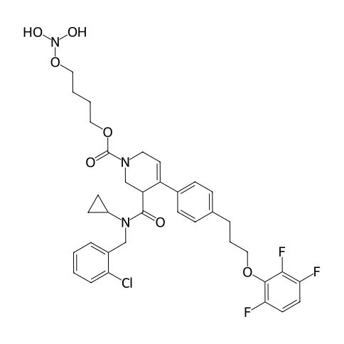 O=C(OCCCCON(O)O)N1CC=C(c2ccc(CCCOc3c(F)ccc(F)c3F)cc2)C(C(=O)N(Cc2ccccc2Cl)C2CC2)C1